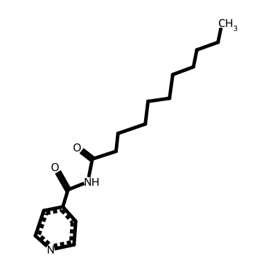 CCCCCCCCCCC(=O)NC(=O)c1ccncc1